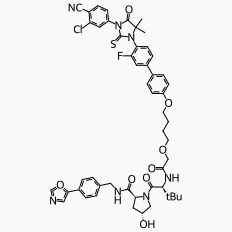 CC(C)(C)[C@H](NC(=O)COCCCCOc1ccc(-c2ccc(N3C(=S)N(c4ccc(C#N)c(Cl)c4)C(=O)C3(C)C)c(F)c2)cc1)C(=O)N1C[C@H](O)C[C@H]1C(=O)NCc1ccc(-c2cnco2)cc1